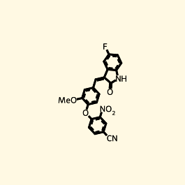 COc1cc(C=C2C(=O)Nc3ccc(F)cc32)ccc1Oc1ccc(C#N)cc1[N+](=O)[O-]